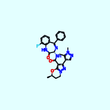 Cc1c(-c2nn3c(c2C(=O)N[C@H]2N=C(c4ccccc4)c4cccc(F)c4NC2=O)O[C@H](C)CC3)cnn1C